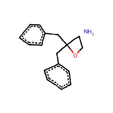 N.c1ccc(CC2(Cc3ccccc3)CCO2)cc1